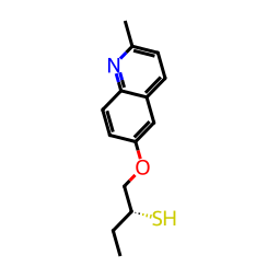 CC[C@@H](S)COc1ccc2nc(C)ccc2c1